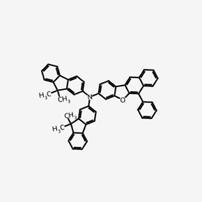 CC1(C)c2ccccc2-c2ccc(N(c3ccc4c(c3)C(C)(C)c3ccccc3-4)c3ccc4c(c3)oc3c(-c5ccccc5)c5ccccc5cc34)cc21